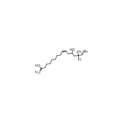 C=C(O)CCCCCCC/C=C\CC(O)CC(C)(CC)CC(C)CC